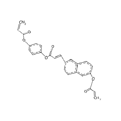 C=CC(=O)Oc1ccc(OC(=O)/C=C/c2ccc3cc(OC(=O)C=C)ccc3c2)cc1